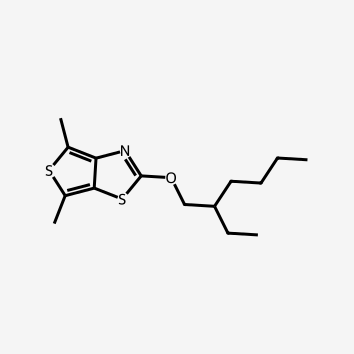 CCCCC(CC)COc1nc2c(C)sc(C)c2s1